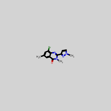 Cc1cc(Br)c2nc(-c3ccn(C)n3)n(C)c(=O)c2c1